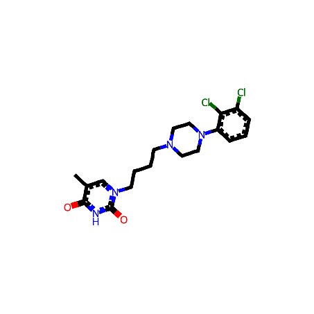 Cc1cn(CCCCN2CCN(c3cccc(Cl)c3Cl)CC2)c(=O)[nH]c1=O